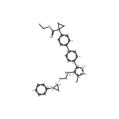 CCOC(=O)C1(c2ccc(-c3ccc(-c4onc(C)c4NCC[C@@H]4C[C@H]4c4ccccc4)cc3)cc2)CC1